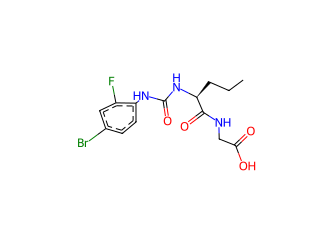 CCC[C@H](NC(=O)Nc1ccc(Br)cc1F)C(=O)NCC(=O)O